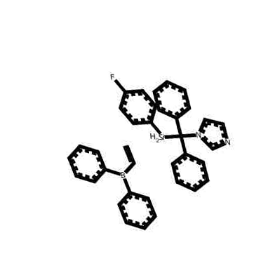 C=CB(c1ccccc1)c1ccccc1.Fc1ccc([SiH2]C(c2ccccc2)(c2ccccc2)n2ccnc2)cc1